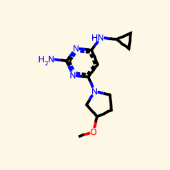 COC1CCN(c2cc(NC3CC3)nc(N)n2)C1